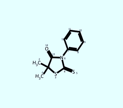 CC1(C)SC(=S)N(c2ccccc2)C1=O